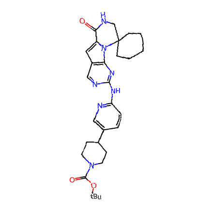 CC(C)(C)OC(=O)N1CCC(c2ccc(Nc3ncc4cc5n(c4n3)C3(CCCCC3)CNC5=O)nc2)CC1